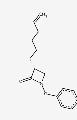 C=CCCCC[C@@H]1CN(Oc2ccccc2)C1=O